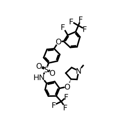 CN1CC[C@@H](Oc2cc(NS(=O)(=O)c3ccc(Oc4cccc(C(F)(F)F)c4F)cc3)ccc2C(F)(F)F)C1